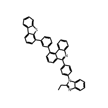 CCc1nc2ccccc2n1-c1ccc(-c2nc3ccccc3c3c(-c4cccc(-c5cccc6c5sc5ccccc56)c4)cccc23)cc1